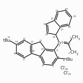 C[C](C)=[Zr+2]([c]1c(C(C)(C)C)ccc2c1Cc1cc(C(C)(C)C)ccc1-2)[CH]1C=Cc2ccccc21.[Cl-].[Cl-]